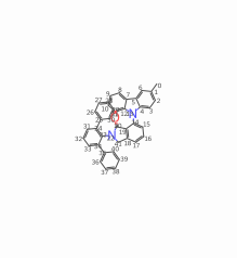 Cc1ccc2c(c1)c1ccccc1n2-c1cccc2c1C(=O)N(c1c(-c3ccccc3)cccc1-c1ccccc1)C2